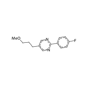 COCCCc1cnc(-c2ccc(F)cc2)nc1